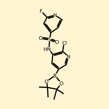 CC1(C)OB(c2cnc(Cl)c(NS(=O)(=O)c3ccnc(F)c3)c2)OC1(C)C